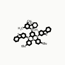 Cc1cc(C)c2c(c1)N(c1cc3c4c(c1)N(c1ccc5sc6ccccc6c5c1)c1cc(C(C)(C)C)ccc1B4c1ccc(C(C)(C)C)cc1N3c1ccc3c(c1)sc1ccccc13)C1(C)CCCCC21C